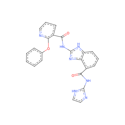 O=C(Nc1nc2c(C(=O)Nc3ncc[nH]3)cccc2[nH]1)c1cccnc1Oc1ccccc1